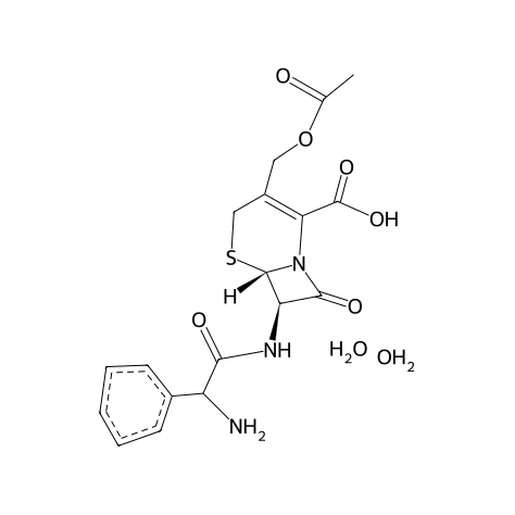 CC(=O)OCC1=C(C(=O)O)N2C(=O)[C@@H](NC(=O)C(N)c3ccccc3)[C@@H]2SC1.O.O